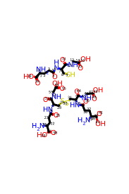 NC(CCC(=O)NC(CS)C(=O)NCC(=O)O)C(=O)O.NC(CCC(=O)NC(CSSCC(NC(=O)CCC(N)C(=O)O)C(=O)NCC(=O)O)C(=O)NCC(=O)O)C(=O)O